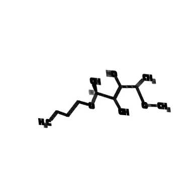 CCCCO[C@@H](O)C(O)C(O)C(C)OC